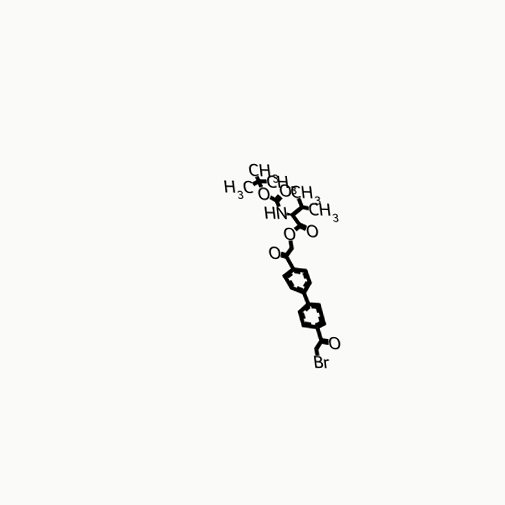 CC(C)[C@H](NC(=O)OC(C)(C)C)C(=O)OCC(=O)c1ccc(-c2ccc(C(=O)CBr)cc2)cc1